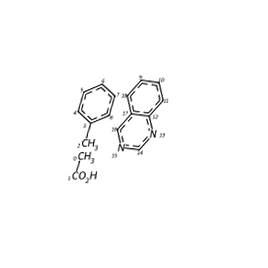 CC(=O)O.Cc1ccccc1.c1ccc2ncncc2c1